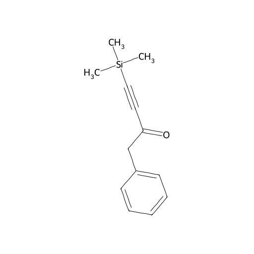 C[Si](C)(C)C#CC(=O)Cc1ccccc1